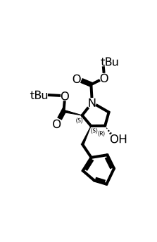 CC(C)(C)OC(=O)[C@@H]1[C@H](Cc2ccccc2)[C@@H](O)CN1C(=O)OC(C)(C)C